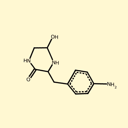 Nc1ccc(CC2NC(O)CNC2=O)cc1